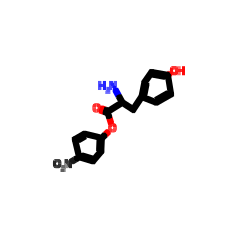 NC(Cc1ccc(O)cc1)C(=O)Oc1ccc([N+](=O)[O-])cc1